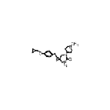 CN1CCC(N2CC3(CNC2=O)CC3Cc2ccc(OCC3CC3)cc2)CC1